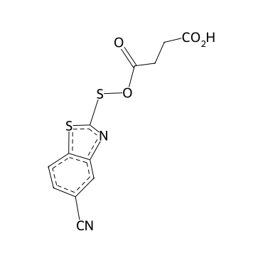 N#Cc1ccc2sc(SOC(=O)CCC(=O)O)nc2c1